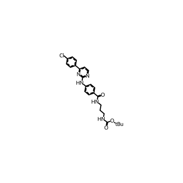 CC(C)(C)OC(=O)NCCCNC(=O)c1ccc(Nc2nccc(-c3ccc(Cl)cc3)n2)cc1